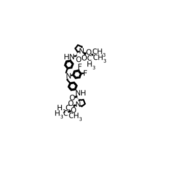 CC(C)(C)OC(=O)N1CCC[C@H]1C(=O)Nc1ccc(CN(Cc2ccc(NC(=O)[C@@H]3CCCN3C(=O)OC(C)(C)C)cc2)c2ccc(F)c(F)c2)cc1